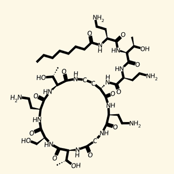 CCCCCCCC(=O)N[C@@H](CCN)C(=O)N[C@H](C(=O)N[C@@H](CCN)C(=O)N[C@H]1CCNC(=O)[C@H]([C@@H](C)O)NC(=O)[C@H](CCN)NC(=O)[C@H](CO)NC(=O)[C@H]([C@@H](C)O)NC(=O)CNC(=O)[C@H](CCN)NC1=O)[C@@H](C)O